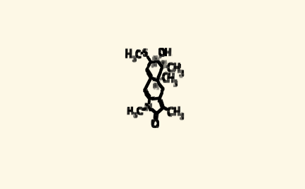 CS[C@@H]1C=C2C=C3C(=C(C)C(=O)N3C)C[C@]2(C)[C@@H](C)[C@H]1O